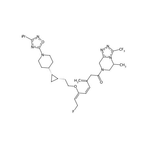 C=C(/C=C\C(=C/CF)OCC[C@@H]1C[C@@H]1C1CCN(c2nc(C(C)C)no2)CC1)CC(=O)N1Cc2nnc(C(F)(F)F)n2C(C)C1